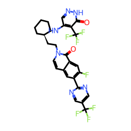 O=c1[nH]ncc(N[C@H]2CCCC[C@@H]2CCn2ccc3cc(-c4ncc(C(F)(F)F)cn4)c(F)cc3c2=O)c1C(F)(F)F